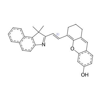 CC1(C)C(/C=C/C2=C3Oc4cc(O)ccc4C=C3CCC2)=Nc2ccc3ccccc3c21